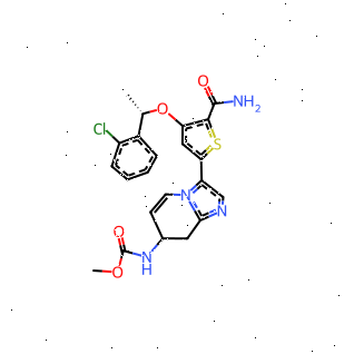 COC(=O)NC1C=Cn2c(-c3cc(O[C@@H](C)c4ccccc4Cl)c(C(N)=O)s3)cnc2C1